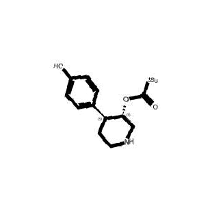 CC(C)(C)C(=O)O[C@@H]1CNCC[C@H]1c1ccc(O)cc1